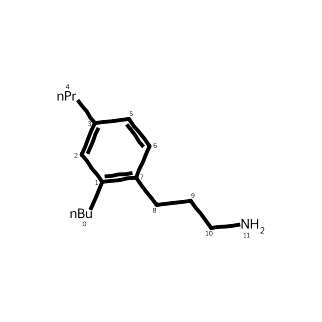 CCCCc1cc(CCC)ccc1CCCN